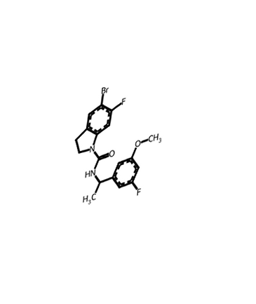 COc1cc(F)cc(C(C)NC(=O)N2CCc3cc(Br)c(F)cc32)c1